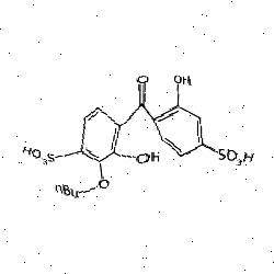 CCCCOc1c(S(=O)(=O)O)ccc(C(=O)c2ccc(S(=O)(=O)O)cc2O)c1O